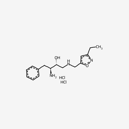 CCc1cc(CNC[C@@H](O)[C@@H](N)Cc2ccccc2)on1.Cl.Cl